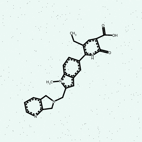 CCc1cc(C(=O)O)c(=O)[nH]c1-c1ccc2c(c1)cc(CN1Cc3cccnc3C1)n2C